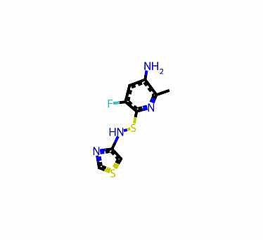 Cc1nc(SNc2cscn2)c(F)cc1N